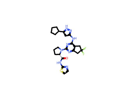 O=C(Nc1nccs1)[C@@H]1CCCN1c1nc2c(c(Nc3cc(C4CCCC4)[nH]n3)n1)CC(F)(F)C2